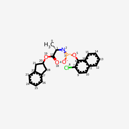 C[C@H](/N=[P+](\[O-])Oc1c(Cl)ccc2ccccc12)C(=O)OC1Cc2ccccc2C1